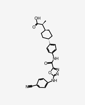 C[C@H](C(=O)O)[C@H]1CC[C@H](c2ccc(NC(=O)c3nnc(Nc4ccc(C#N)cc4)o3)cc2)CC1